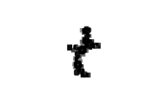 Cc1cc(-c2nc(C#N)nc3c2ccn3CC2CCCO2)ccc1OCCC1CCN(C(=O)OC(C)(C)C)CC1